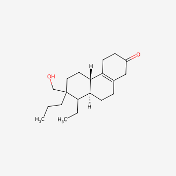 CCCC1(CO)CC[C@@H]2C3=C(CC[C@H]2C1CC)CC(=O)CC3